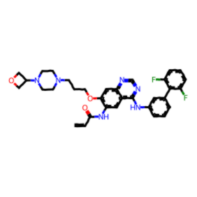 C=CC(=O)Nc1cc2c(Nc3cccc(-c4c(F)cccc4F)c3)ncnc2cc1OCCCN1CCN(C2COC2)CC1